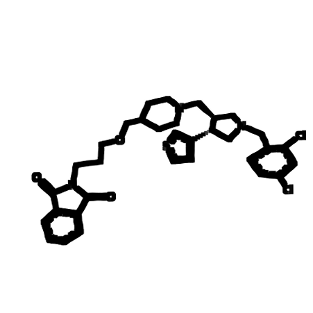 O=C1c2ccccc2C(=O)N1CCCOCC1CCN(C[C@H]2CN(Cc3ccc(Cl)cc3Cl)C[C@@H]2c2ccsc2)CC1